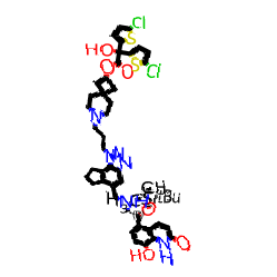 CC(C)(C)[Si](C)(C)O[C@@H](CNCc1cc2nnn(CCCN3CCC4(CC3)CC(OC(=O)C(O)(c3ccc(Cl)s3)c3ccc(Cl)s3)C4)c2c2c1CCC2)c1ccc(O)c2[nH]c(=O)ccc12